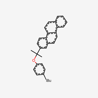 CCC(C)c1ccc(OC(C)(C)c2ccc3c(ccc4c5ccccc5ccc34)c2)cc1